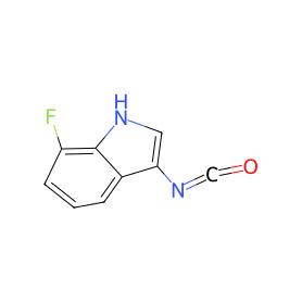 O=C=Nc1c[nH]c2c(F)cccc12